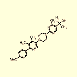 COc1ccc(-c2nnc(N3CCN(c4ncc(C(C)(C)O)c(C(F)(F)F)n4)CC3)c(C)c2C)cc1